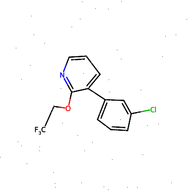 FC(F)(F)COc1ncccc1-c1cccc(Cl)c1